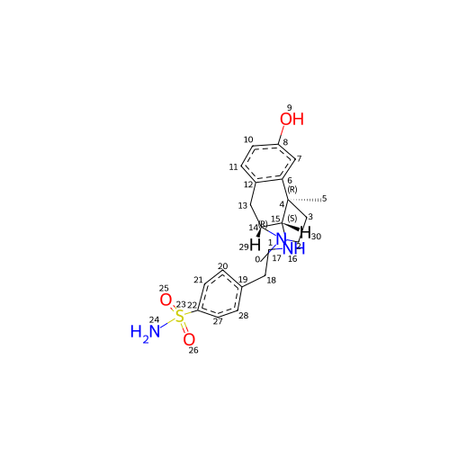 CN1CC[C@]2(C)c3cc(O)ccc3C[C@@H]1[C@H]2NCCc1ccc(S(N)(=O)=O)cc1